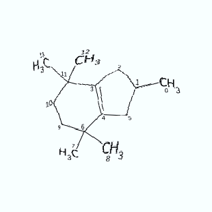 CC1CC2=C(C1)C(C)(C)CCC2(C)C